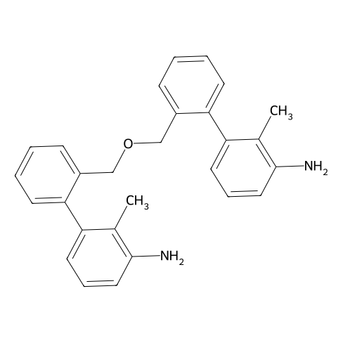 Cc1c(N)cccc1-c1ccccc1COCc1ccccc1-c1cccc(N)c1C